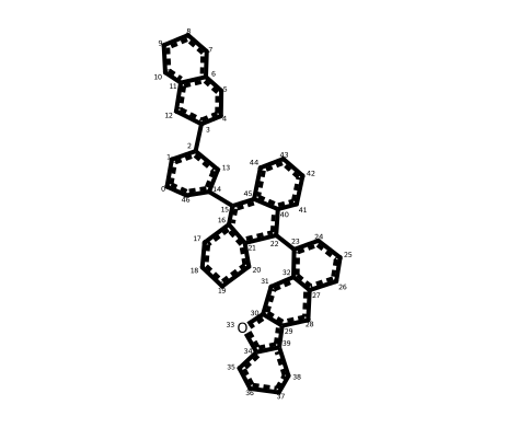 c1cc(-c2ccc3ccccc3c2)cc(-c2c3ccccc3c(-c3cccc4cc5c(cc34)oc3ccccc35)c3ccccc23)c1